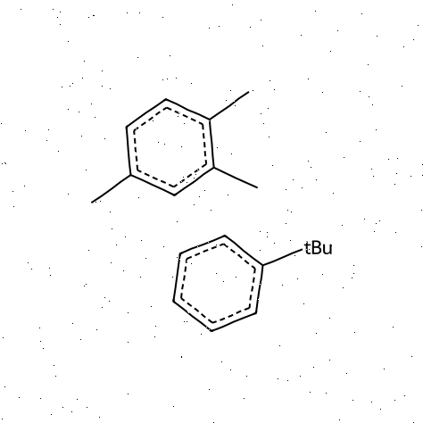 CC(C)(C)c1ccccc1.Cc1ccc(C)c(C)c1